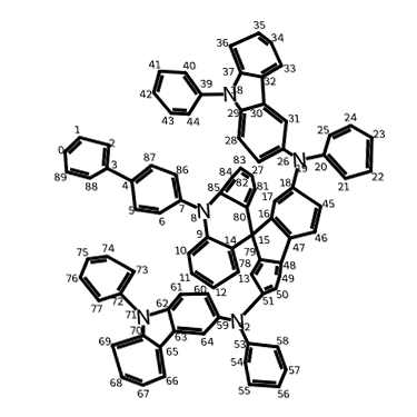 c1ccc(-c2ccc(N3c4ccccc4C4(c5cc(N(c6ccccc6)c6ccc7c(c6)c6ccccc6n7-c6ccccc6)ccc5-c5ccc(N(c6ccccc6)c6ccc7c(c6)c6ccccc6n7-c6ccccc6)cc54)c4ccccc43)cc2)cc1